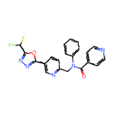 O=C(c1ccncc1)N(Cc1ccc(-c2nnc(C(F)F)o2)cn1)c1ccccc1